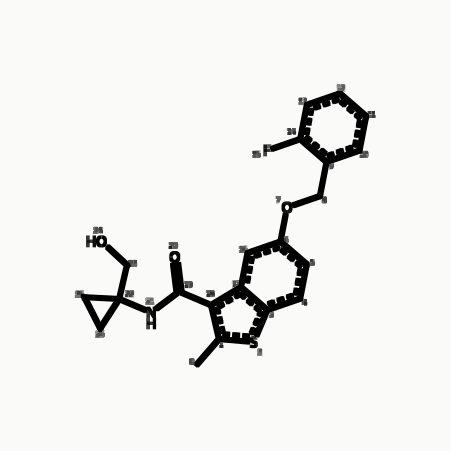 Cc1sc2ccc(OCc3ccccc3F)cc2c1C(=O)NC1(CO)CC1